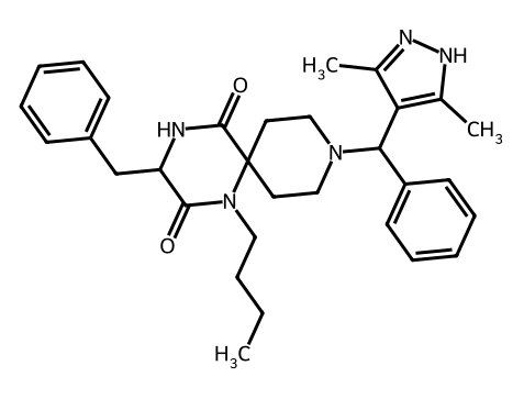 CCCCN1C(=O)C(Cc2ccccc2)NC(=O)C12CCN(C(c1ccccc1)c1c(C)n[nH]c1C)CC2